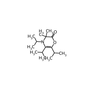 CC(C)C1=C(C(C)C)N(C(C)C)C(C)(C)C(=O)O1